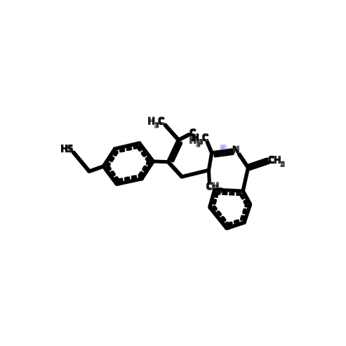 C=C(/N=C(/C)C(C)CC(=C(C)C)c1ccc(CS)cc1)c1ccccc1